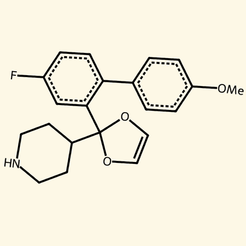 COc1ccc(-c2ccc(F)cc2C2(C3CCNCC3)OC=CO2)cc1